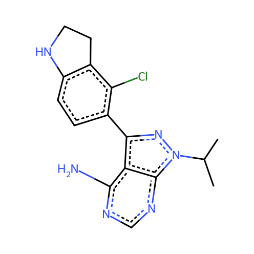 CC(C)n1nc(-c2ccc3c(c2Cl)CCN3)c2c(N)ncnc21